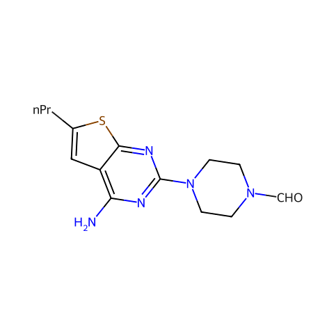 CCCc1cc2c(N)nc(N3CCN(C=O)CC3)nc2s1